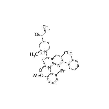 C=CC(=O)N1CCN(c2nc(=O)n(-c3c(OC)cccc3C(C)C)c3nc(-c4ccccc4F)c(Cl)cc23)[C@@H](C)C1